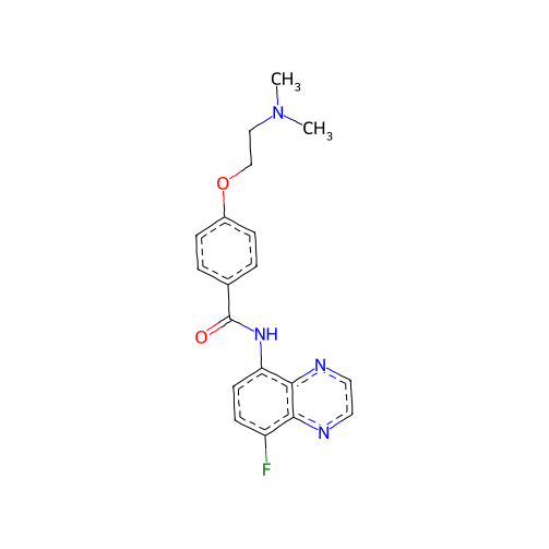 CN(C)CCOc1ccc(C(=O)Nc2ccc(F)c3nccnc23)cc1